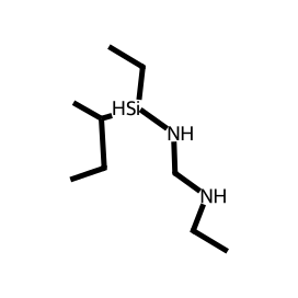 CCNCN[SiH](CC)C(C)CC